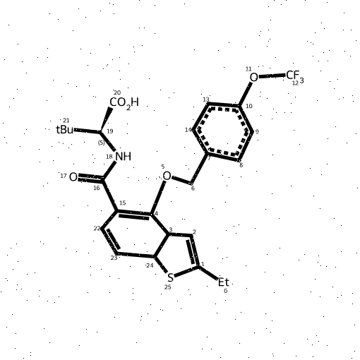 CCC1=CC2C(OCc3ccc(OC(F)(F)F)cc3)=C(C(=O)N[C@H](C(=O)O)C(C)(C)C)C=CC2S1